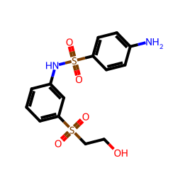 Nc1ccc(S(=O)(=O)Nc2cccc(S(=O)(=O)CCO)c2)cc1